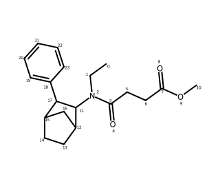 CCN(C(=O)CCC(=O)OC)C1C2CCC(C2)C1c1ccccc1